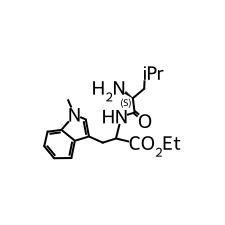 CCOC(=O)C(Cc1cn(C)c2ccccc12)NC(=O)[C@@H](N)CC(C)C